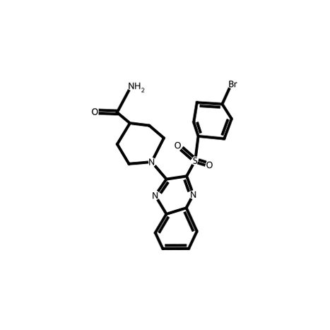 NC(=O)C1CCN(c2nc3ccccc3nc2S(=O)(=O)c2ccc(Br)cc2)CC1